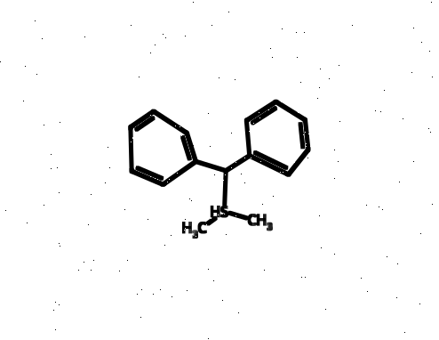 C[SH](C)C(c1ccccc1)c1ccccc1